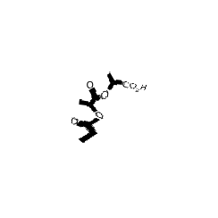 C=CC(=O)OC(C)C(=O)OC(C)C(=O)O